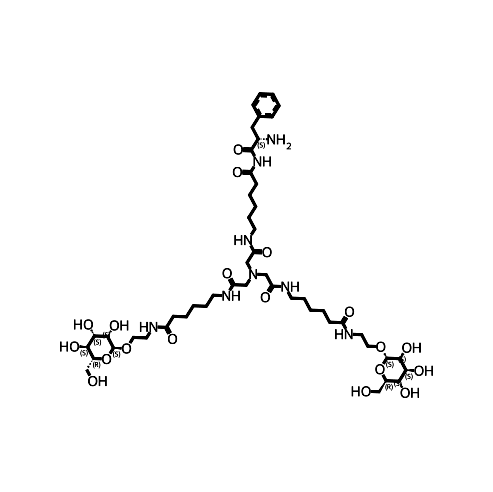 N[C@@H](Cc1ccccc1)C(=O)NC(=O)CCCCCNC(=O)CN(CC(=O)NCCCCCC(=O)NCCO[C@H]1O[C@H](CO)[C@@H](O)[C@H](O)[C@@H]1O)CC(=O)NCCCCCC(=O)NCCO[C@H]1O[C@H](CO)[C@@H](O)[C@H](O)[C@@H]1O